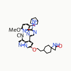 COc1ccc(CN2C3CC2CN(c2cnc(-c4cc(OCCC5CCC6(CC5)CC(=O)N6)cn5ncc(C#N)c45)cn2)C3)cn1